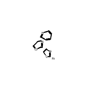 C1=NCCO1.C1=NCCO1.[Ru].c1ccncc1